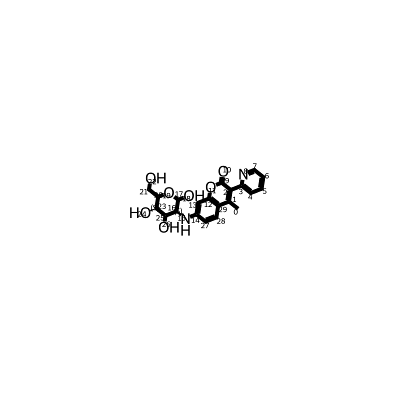 Cc1c(-c2ccccn2)c(=O)oc2cc(N[C@@H]3C(O)OC(CO)[C@@H](O)C3O)ccc12